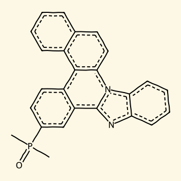 CP(C)(=O)c1ccc2c(c1)c1nc3ccccc3n1c1ccc3ccccc3c21